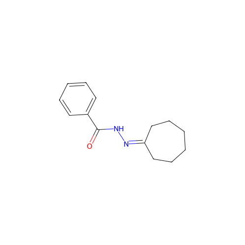 O=C(NN=C1CCCCCC1)c1ccccc1